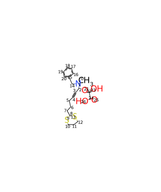 CN(CC#CCCCC1SCCCS1)Cc1ccccc1.O=C(O)C(=O)O